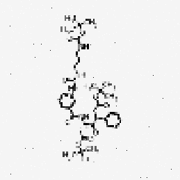 CC(C)(C)OC(=O)C[C@H](NC(=O)c1cccc(NC(=O)NCCCNC(=O)OC(C)(C)C)c1)C(=O)N(CC(=O)OC(C)(C)C)c1ccccc1